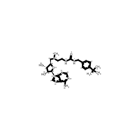 CN(CCNC(=O)NCc1ccc(C(C)(C)C)cc1)C[C@H]1O[C@@H](n2cnc3c(N)ncnc32)[C@H](O)[C@@H]1O